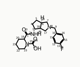 O=C(N[C@@H]1CC[C@H]2CN(Cc3ccc(F)cc3)C[C@H]21)C1CCCCN1C(=O)O